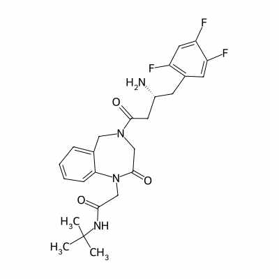 CC(C)(C)NC(=O)CN1C(=O)CN(C(=O)C[C@H](N)Cc2cc(F)c(F)cc2F)Cc2ccccc21